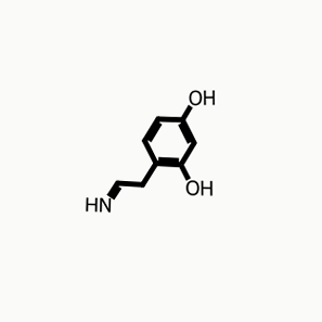 N=CCc1ccc(O)cc1O